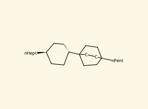 CCCCCCC[C@H]1CC[C@H](C23CCC(CCCCC)(CC2)CC3)CC1